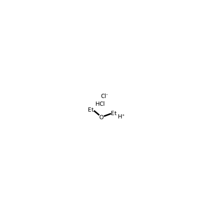 CCOCC.Cl.[Cl-].[H+]